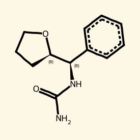 NC(=O)N[C@H](c1ccccc1)[C@H]1CCCO1